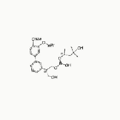 CCCOc1cc(-c2cncc([C@@H](CO)COB(O)O[C@@H](C)CC(C)(C)O)c2)ccc1OC